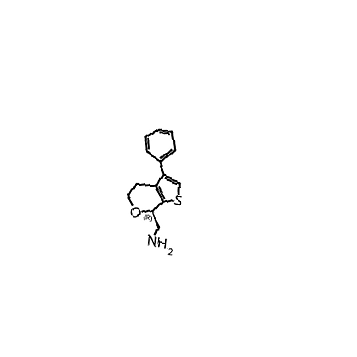 NC[C@H]1OCCc2c(-c3ccccc3)csc21